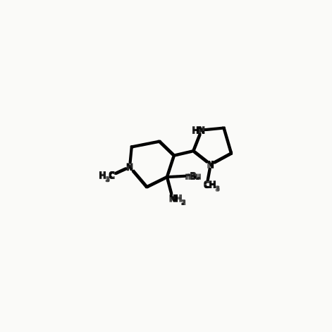 CCCCC1(N)CN(C)CCC1C1NCCN1C